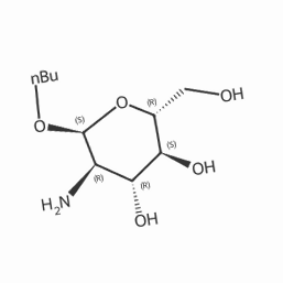 CCCCO[C@H]1O[C@H](CO)[C@@H](O)[C@H](O)[C@H]1N